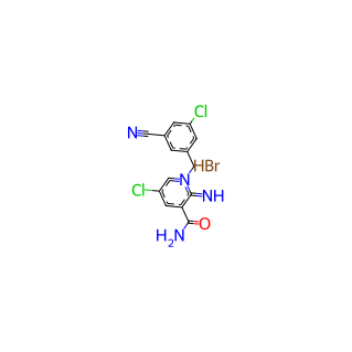 Br.N#Cc1cc(Cl)cc(Cn2cc(Cl)cc(C(N)=O)c2=N)c1